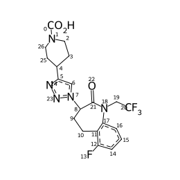 O=C(O)N1CCC(c2cn(C3CCc4c(F)cccc4N(CC(F)(F)F)C3=O)nn2)CC1